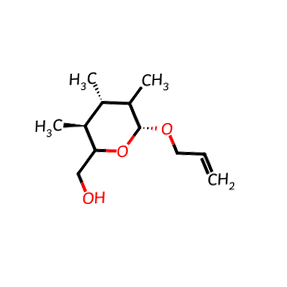 C=CCO[C@@H]1OC(CO)[C@@H](C)[C@H](C)C1C